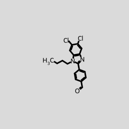 CCCCn1c(-c2ccc(C=O)cc2)nc2cc(Cl)c(Cl)cc21